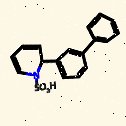 O=S(=O)(O)N1C=CC=CC1c1cccc(-c2ccccc2)c1